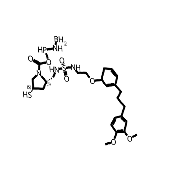 BNPOC(=O)N1C[C@@H](S)C[C@H]1CNS(=O)(=O)NCCOC1C=C(CCCc2ccc(OC)c(OC)c2)C=CC1